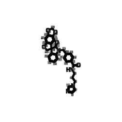 O=C(NCCCn1ccnc1)c1ccc(CN2C(=O)C3(COc4cc5c(cc43)OCO5)c3ccccc32)cc1